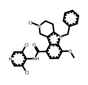 COc1ccc(C(=O)Nc2c(Cl)cncc2Cl)c2c3c(n(Cc4ccccc4)c12)CCN(Cl)C3